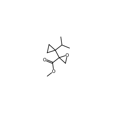 COC(=O)C1(C2(C(C)C)CC2)CO1